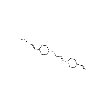 C/C=C/[C@H]1CC[C@H](/C=C/CC[C@H]2CC[C@H](/C=C/CCC)CC2)CC1